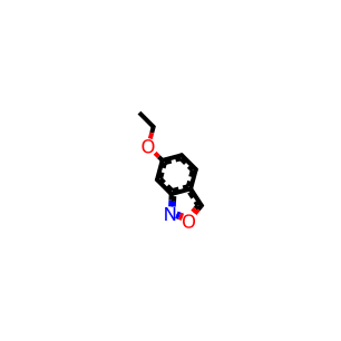 CCOc1ccc2conc2c1